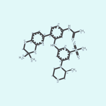 CC(=O)Nc1cc(Nc2cc(N3CCOC[C@@H]3C)cc(S(C)(=O)=O)n2)c(-c2ccc3c(n2)OC(C)(C)CO3)cn1